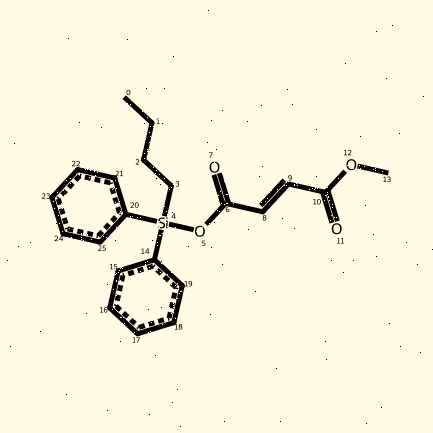 CCCC[Si](OC(=O)C=CC(=O)OC)(c1ccccc1)c1ccccc1